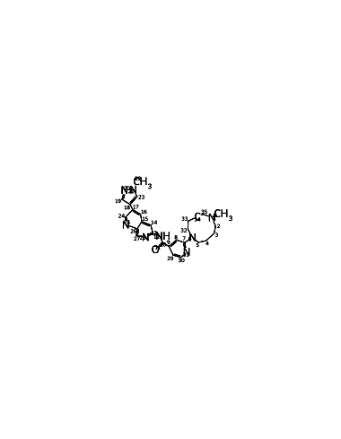 CN1CCCCN(c2cc(C(=O)Nc3cc4cc(-c5cnn(C)c5)cnc4cn3)ccn2)CCCC1